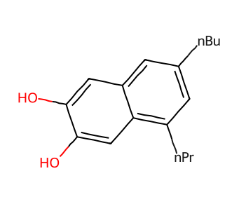 CCCCc1cc(CCC)c2cc(O)c(O)cc2c1